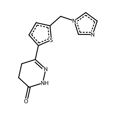 O=C1CCC(c2ccc(Cn3ccnc3)s2)=NN1